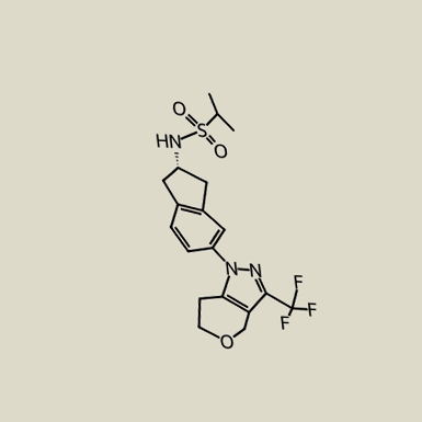 CC(C)S(=O)(=O)N[C@H]1Cc2ccc(-n3nc(C(F)(F)F)c4c3CCOC4)cc2C1